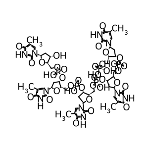 Cc1cn([C@H]2C[C@H](OP(=O)(O)OC[C@H]3O[C@@H](n4cc(C)c(=O)[nH]c4=O)C[C@@H]3OP(=O)(O)OC[C@H]3O[C@@H](n4cc(C)c(=O)[nH]c4=O)C[C@@H]3OP(=O)(O)OC[C@H]3O[C@@H](n4cc(C)c(=O)[nH]c4=O)C[C@@H]3OP(=O)(O)OC[C@H]3O[C@@H](n4cc(C)c(=O)[nH]c4=O)C[C@@H]3O)[C@@H](COP(=O)(O)O)O2)c(=O)[nH]c1=O